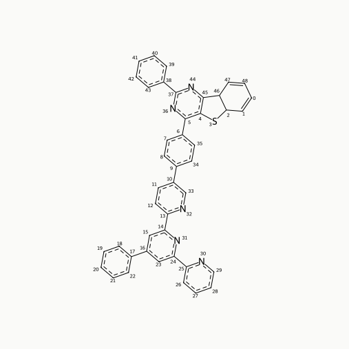 C1=CC2Sc3c(-c4ccc(-c5ccc(-c6cc(-c7ccccc7)cc(-c7ccccn7)n6)nc5)cc4)nc(-c4ccccc4)nc3C2C=C1